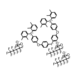 Cc1cccc([S+](c2ccc(Oc3ccc([I+]c4ccc(Oc5ccc([S+](c6cccc(C)c6C)c6cccc(C)c6C)cc5)cc4)cc3)cc2)c2cccc(C)c2C)c1C.O=S(=O)([O-])C(F)(F)C(F)(F)C(F)(F)C(F)(F)F.O=S(=O)([O-])C(F)(F)C(F)(F)C(F)(F)C(F)(F)F.O=S(=O)([O-])C(F)(F)C(F)(F)C(F)(F)C(F)(F)F